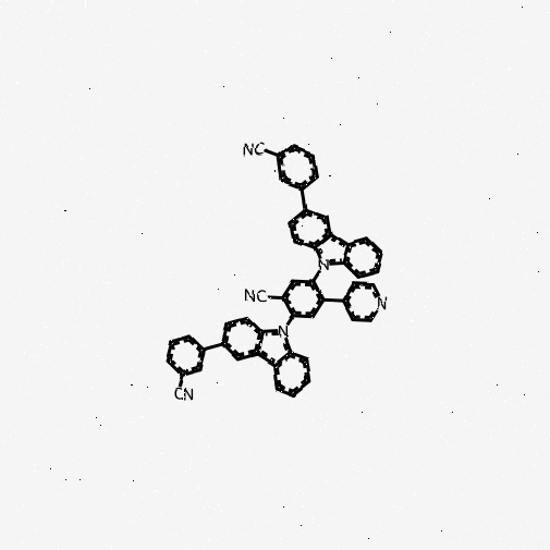 N#Cc1cccc(-c2ccc3c(c2)c2ccccc2n3-c2cc(-c3ccncc3)c(-n3c4ccccc4c4cc(-c5cccc(C#N)c5)ccc43)cc2C#N)c1